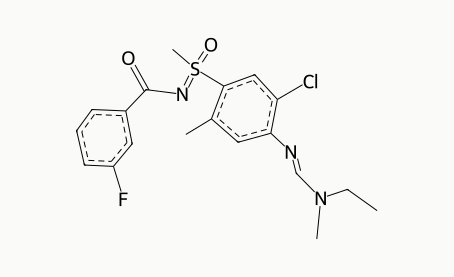 CCN(C)C=Nc1cc(C)c(S(C)(=O)=NC(=O)c2cccc(F)c2)cc1Cl